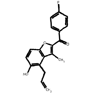 C=CCc1c(O)ccc2oc(C(=O)c3ccc(F)cc3)c(C)c12